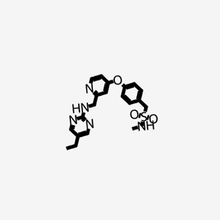 CCc1cnc(NCc2cc(Oc3ccc(CS(=O)(=O)NC)cc3)ccn2)nc1